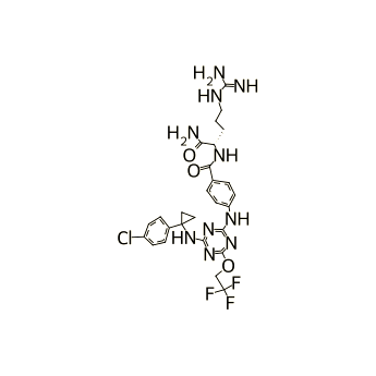 N=C(N)NCCC[C@H](NC(=O)c1ccc(Nc2nc(NC3(c4ccc(Cl)cc4)CC3)nc(OCC(F)(F)F)n2)cc1)C(N)=O